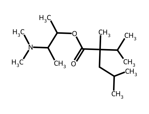 CC(C)CC(C)(C(=O)OC(C)C(C)N(C)C)C(C)C